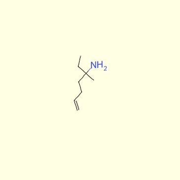 C=CCCC(C)(N)CC